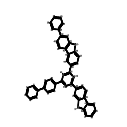 c1ccc(-c2ccc(-c3nc(-c4ccc5c(c4)oc4ccccc45)nc(-c4ccc5sc6cc(-c7ccccc7)ccc6c5c4)n3)cc2)cc1